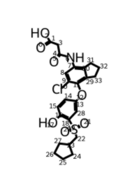 O=C(O)CC(=O)Nc1cc(Cl)c(Oc2ccc(O)c(S(=O)(=O)CC3CCCC3)c2)c2c1CCC2